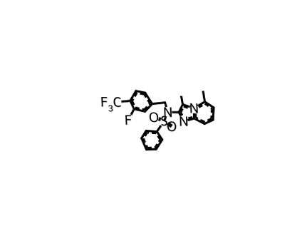 Cc1cccc2nc(N(Cc3ccc(C(F)(F)F)c(F)c3)S(=O)(=O)c3ccccc3)c(C)n12